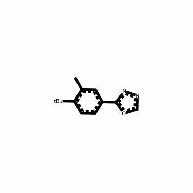 Cc1cc(-c2nnco2)ccc1C(C)(C)C